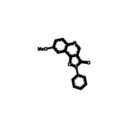 COc1ccc2ncc3c(=O)n(-c4ccccc4)oc3c2c1